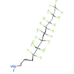 CNCCCC(F)(F)C(F)(F)C(F)(F)C(F)(F)C(F)(F)C(F)(F)C(F)(F)C(F)(F)F